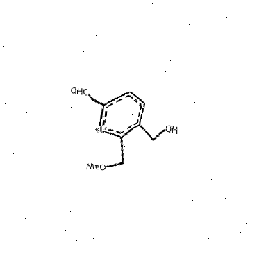 COCc1nc(C=O)ccc1CO